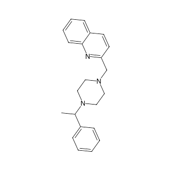 CC(c1ccccc1)N1CCN(Cc2ccc3ccccc3n2)CC1